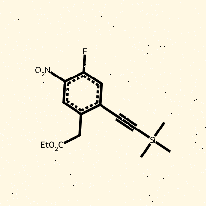 CCOC(=O)Cc1cc([N+](=O)[O-])c(F)cc1C#C[Si](C)(C)C